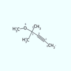 [CH2]C#CC(C)(C)OC